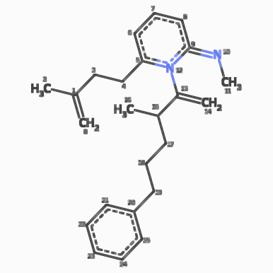 C=C(C)CCc1ccc/c(=N/C)n1C(=C)C(C)CCCc1ccccc1